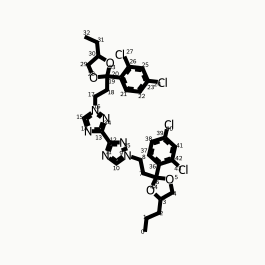 CCCC1COC(CCn2cnc(-c3ncn(CCC4(c5ccc(Cl)cc5Cl)OCC(CC)O4)n3)n2)(c2ccc(Cl)cc2Cl)O1